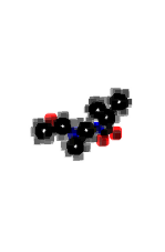 O=C1C(=O)N(c2ccc3c(c2)c2ccccc2n3-c2ccc3oc4ccccc4c3c2)c2c1cc(-c1ccccc1)c1ccccc21